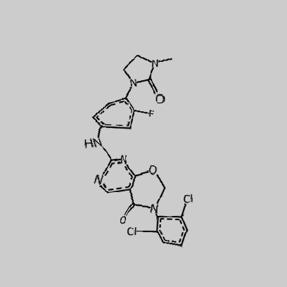 CN1CCN(c2ccc(Nc3ncc4c(n3)OCN(c3c(Cl)cccc3Cl)C4=O)cc2F)C1=O